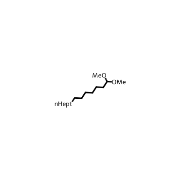 CCCCCCCCCCCCCC(OC)OC